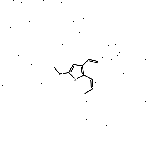 C=Cc1cc(CC)sc1/C=C\C